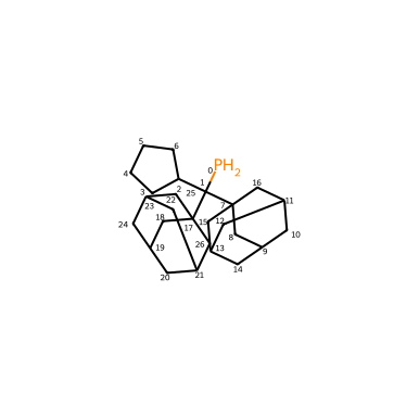 PC(C1CCCC1)(C12CC3CC(CC(C3)C1)C2)C12CC3CC(CC(C3)C1)C2